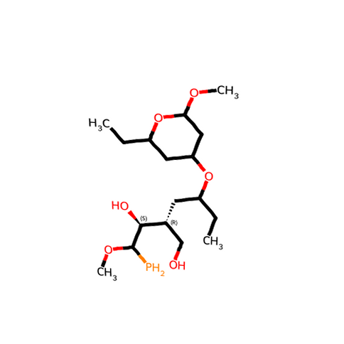 CCC(C[C@H](CO)[C@H](O)C(P)OC)OC1CC(CC)OC(OC)C1